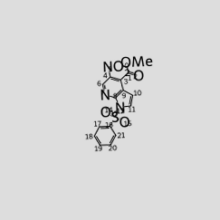 COC(=O)c1c([N+](=O)[O-])cnc2c1ccn2S(=O)(=O)c1ccccc1